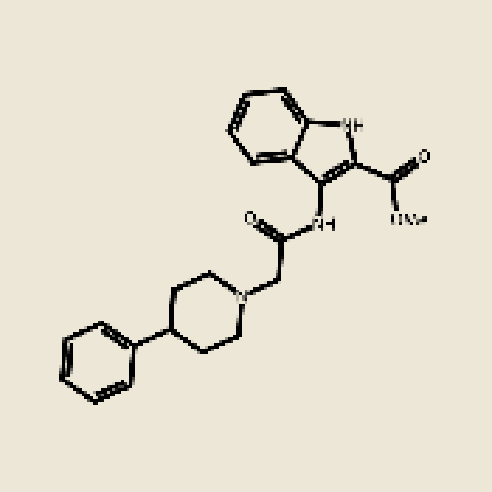 COC(=O)c1[nH]c2ccccc2c1NC(=O)CN1CCC(c2ccccc2)CC1